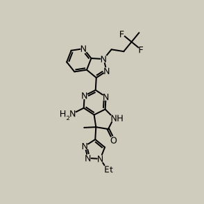 CCn1cc(C2(C)C(=O)Nc3nc(-c4nn(CCC(C)(F)F)c5ncccc45)nc(N)c32)nn1